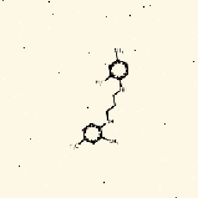 Cc1ccc(NCCCNc2ccc(C)cc2C)c(C)c1